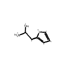 NC(O)Cc1cccs1